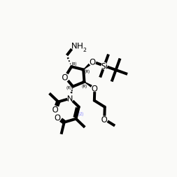 COCCO[C@@H]1[C@H](O[Si](C)(C)C(C)(C)C)[C@@H](CN)O[C@H]1N(/C=C(/C)C(C)=O)C(C)=O